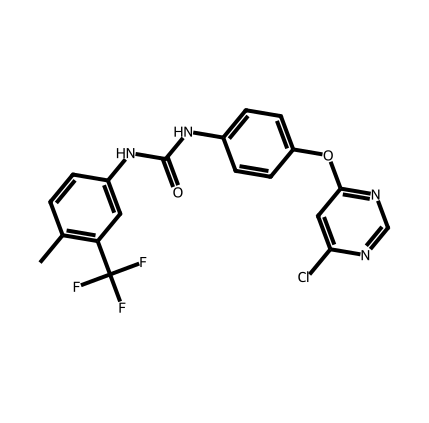 Cc1ccc(NC(=O)Nc2ccc(Oc3cc(Cl)ncn3)cc2)cc1C(F)(F)F